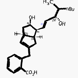 CCCCC(C)[C@H](O)/C=C/[C@H]1[C@H]2CC(Cc3ccccc3C(=O)O)=C[C@H]2C[C@H]1O